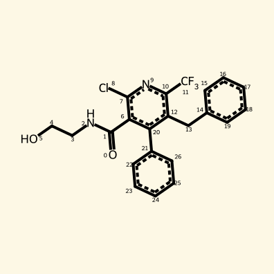 O=C(NCCO)c1c(Cl)nc(C(F)(F)F)c(Cc2ccccc2)c1-c1ccccc1